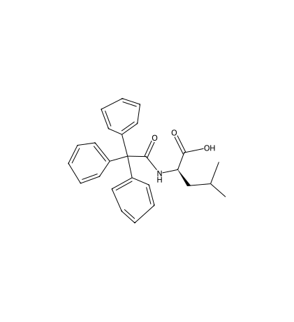 CC(C)C[C@@H](NC(=O)C(c1ccccc1)(c1ccccc1)c1ccccc1)C(=O)O